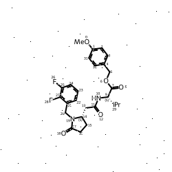 COc1ccc(COC(=O)[C@@H](NC(=O)C[C@@H]2CCC(=O)N2Cc2cccc(F)c2F)C(C)C)cc1